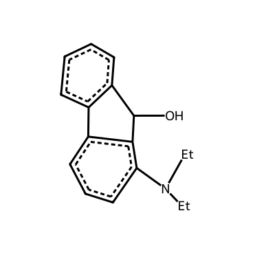 CCN(CC)c1cccc2c1C(O)c1ccccc1-2